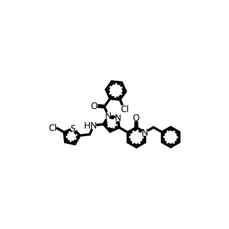 O=C(c1ccccc1Cl)n1nc(-c2cccn(Cc3ccccc3)c2=O)cc1NCc1ccc(Cl)s1